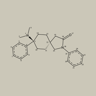 CN(C)[C@]1(c2ccccc2)CC[C@]2(CC1)CC(=O)N(c1ccccc1)C2